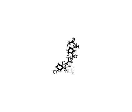 CCOC(N)c1cc(Cl)ccc1OCC1CN(C(=O)c2cc3c(cc2F)OCC(=O)CN3)C1